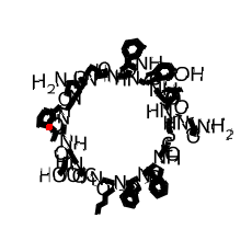 CCCCC[C@H]1C(=O)N(C)CC(=O)N[C@@H](CC(=O)O)C(=O)N[C@@H](C(C)C)C(=O)N(C)[C@@H](Cc2ccccc2)C(=O)N2C[C@H](N)C[C@H]2C(=O)N2CCC[C@@H]2C(=O)N[C@@H](Cc2c[nH]c3ccccc23)C(=O)N[C@@H](Cc2ccc(O)cc2)C(=O)N[C@@H](CC(C)C)C(=O)N[C@H](C(=O)NCC(N)=O)CSCC(=O)N[C@@H](Cc2ccccc2)C(=O)N(C)[C@@H](Cc2ccccc2)C(=O)N1C